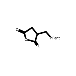 CCCCCCC1CC(=O)OC1=S